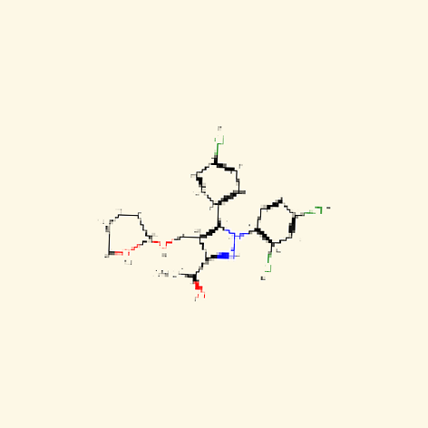 COC(=O)c1nn(-c2ccc(Cl)cc2Cl)c(-c2ccc(Cl)cc2)c1COC1CCCCO1